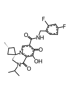 CC(C)N1C[C@]2(C[C@@H](C)C2)n2cc(C(=O)NCc3ccc(F)cc3F)c(=O)c(O)c2C1=O